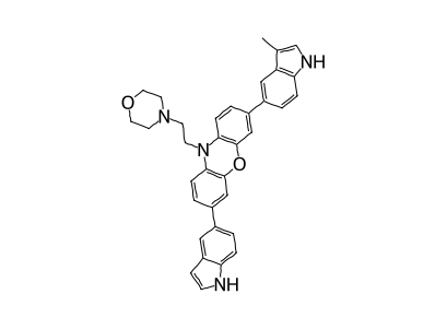 Cc1c[nH]c2ccc(-c3ccc4c(c3)Oc3cc(-c5ccc6[nH]ccc6c5)ccc3N4CCN3CCOCC3)cc12